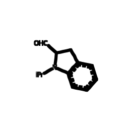 CC(C)N1c2ccccc2CC1C=O